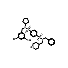 CC(C)(C)c1cc(Br)cc(CN(C2CCCC2)S(=O)(=O)c2ccc(S(=O)(=O)N(Cc3ccccc3)CC3CCNCC3)cc2)c1